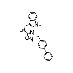 C[C@@H](Cc1cn(C)c2ccccc12)c1nc(Cc2ccc(-c3ccccc3)cc2)no1